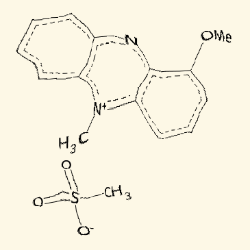 COc1cccc2c1nc1ccccc1[n+]2C.CS(=O)(=O)[O-]